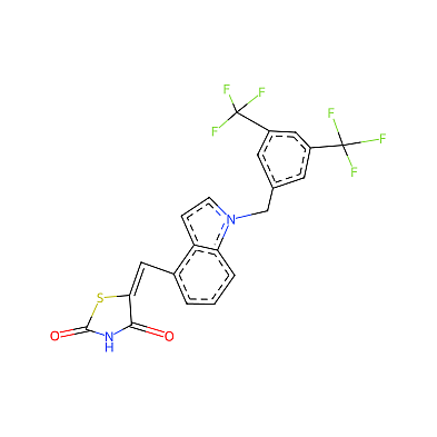 O=C1NC(=O)C(=Cc2cccc3c2ccn3Cc2cc(C(F)(F)F)cc(C(F)(F)F)c2)S1